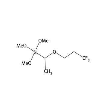 CO[Si](OC)(OC)C(C)OCCC(F)(F)F